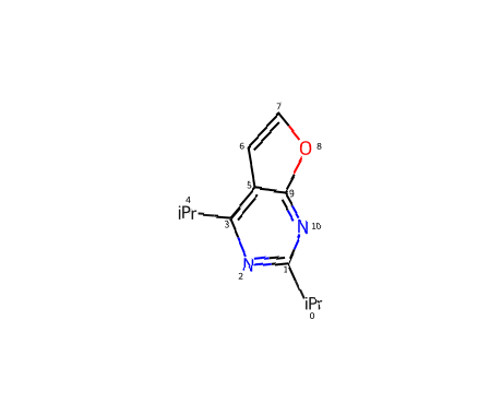 CC(C)c1nc(C(C)C)c2ccoc2n1